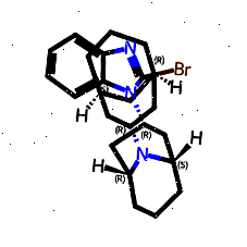 Brc1nc2ccccc2n1[C@H]1C[C@H]2CCC[C@@H](C1)N2[C@H]1C[C@@H]2CCC[C@@H](C2)C1